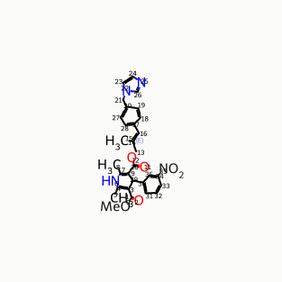 COC(=O)C1=C(C)NC(C)=C(C(=O)OC/C(C)=C/c2ccc(Cn3ccnc3)cc2)C1c1cccc([N+](=O)[O-])c1